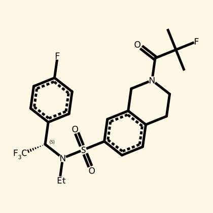 CCN([C@@H](c1ccc(F)cc1)C(F)(F)F)S(=O)(=O)c1ccc2c(c1)CN(C(=O)C(C)(C)F)CC2